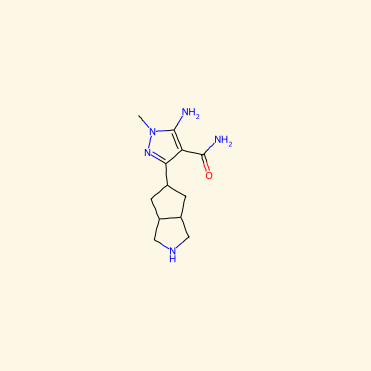 Cn1nc(C2CC3CNCC3C2)c(C(N)=O)c1N